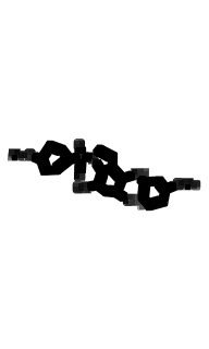 COc1ccc(S(=O)(=O)n2ccc3c(Nc4cccc(OC)c4)c(C)cc(N=O)c32)cc1